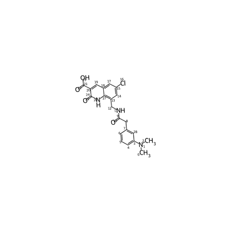 CN(C)c1cccc(CC(=O)NCc2cc(Cl)cc3cc(C(=O)O)c(=O)[nH]c23)c1